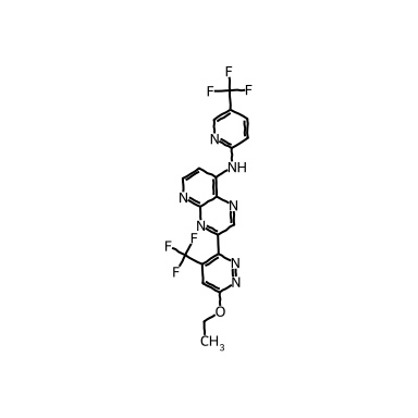 CCOc1cc(C(F)(F)F)c(-c2cnc3c(Nc4ccc(C(F)(F)F)cn4)ccnc3n2)nn1